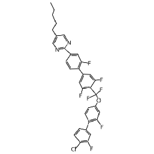 CCCCCc1cnc(-c2ccc(-c3cc(F)c(C(F)(F)Oc4ccc(-c5ccc(Cl)c(F)c5)c(F)c4)c(F)c3)c(F)c2)nc1